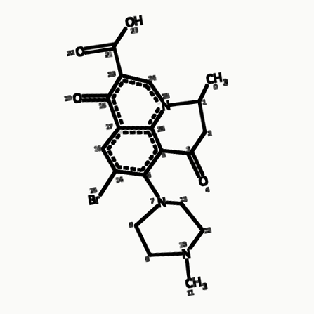 CC1CC(=O)c2c(N3CCN(C)CC3)c(Br)cc3c(=O)c(C(=O)O)cn1c23